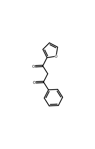 O=C(CC(=O)c1ccco1)c1ccccc1